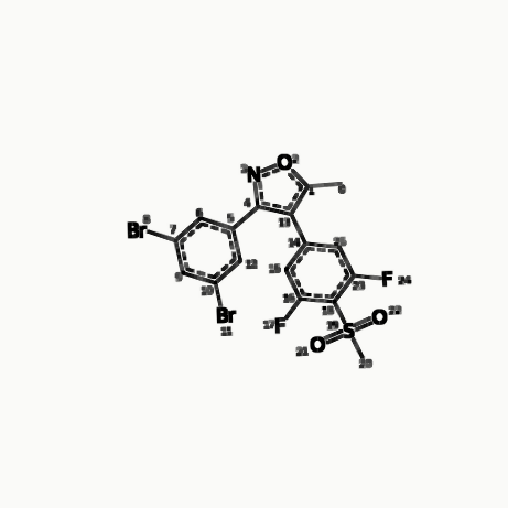 Cc1onc(-c2cc(Br)cc(Br)c2)c1-c1cc(F)c(S(C)(=O)=O)c(F)c1